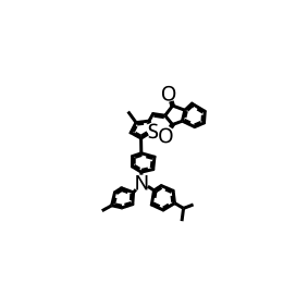 Cc1ccc(N(c2ccc(-c3cc(C)c(C=C4C(=O)c5ccccc5C4=O)s3)cc2)c2ccc(C(C)C)cc2)cc1